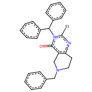 CCc1nc2c(c(=O)n1C(c1ccccc1)c1ccccc1)CN(Cc1ccccc1)CC2